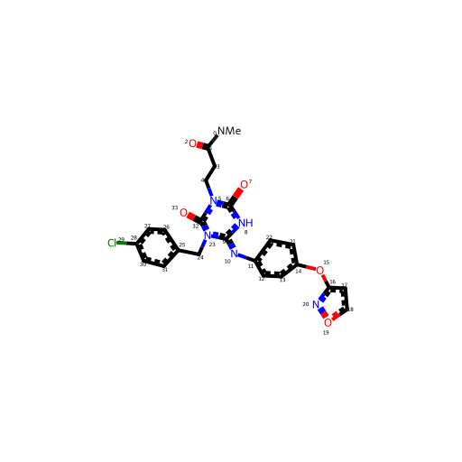 CNC(=O)CCn1c(=O)[nH]/c(=N\c2ccc(Oc3ccon3)cc2)n(Cc2ccc(Cl)cc2)c1=O